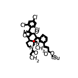 C=CC(=O)N1CCC(c2onc(-c3c(Cl)cc(Cl)cc3Cl)c2C(=O)c2cn(C)c3c(/C=C/C(=O)OC(C)(C)C)cccc23)CC1